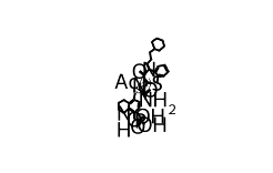 CC(=O)N([C@@H](Cc1ccc(OP(=O)(O)O)c2c1CCCN2)C(N)=O)[C@H]1CSc2ccccc2N(CCCC2CCCCC2)C1=O